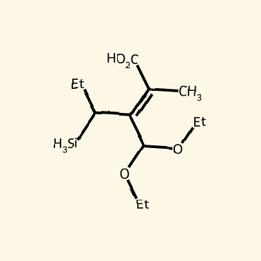 CCOC(OCC)C(=C(C)C(=O)O)C([SiH3])CC